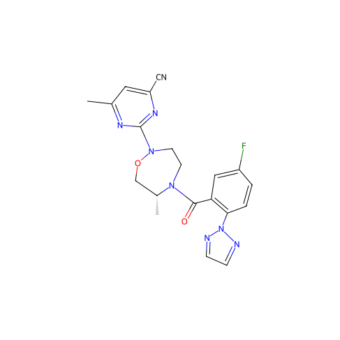 Cc1cc(C#N)nc(N2CCN(C(=O)c3cc(F)ccc3-n3nccn3)[C@H](C)CO2)n1